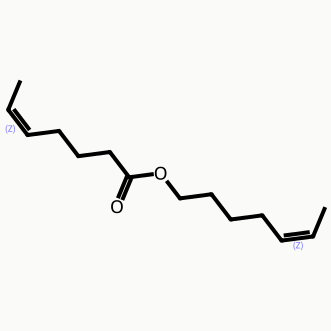 C/C=C\CCCCOC(=O)CCC/C=C\C